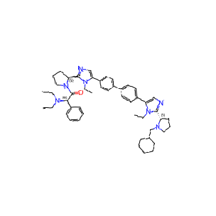 CCN(CC)[C@@H](C(=O)N1CCC[C@H]1c1ncc(-c2ccc(-c3ccc(-c4cnc([C@@H]5CCCN5CC5CCCCC5)n4CC)cc3)cc2)n1CC)c1ccccc1